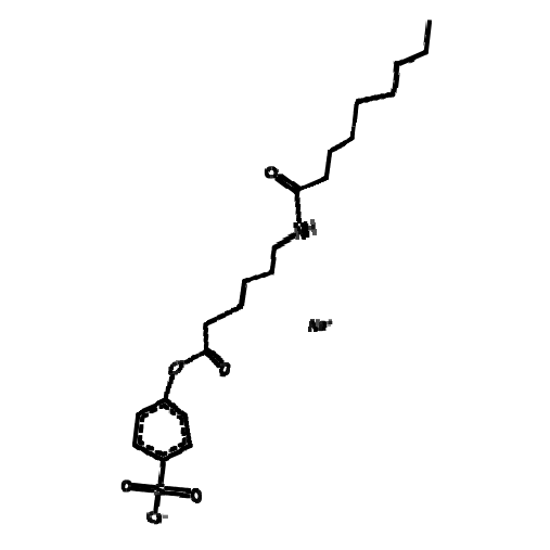 CCCCCCCCC(=O)NCCCCCC(=O)Oc1ccc(S(=O)(=O)[O-])cc1.[Na+]